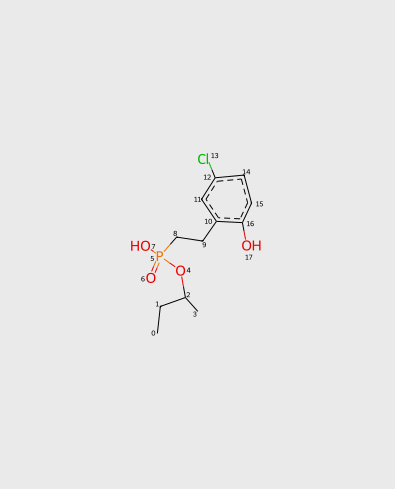 CCC(C)OP(=O)(O)CCc1cc(Cl)ccc1O